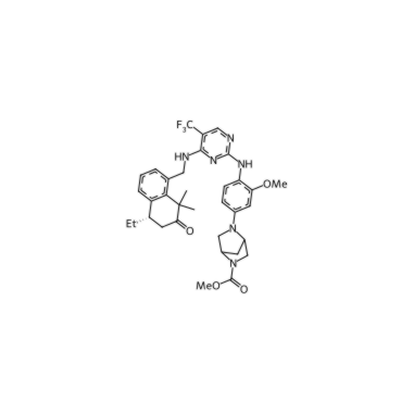 CC[C@H]1CC(=O)C(C)(C)c2c(CNc3nc(Nc4ccc(N5CC6CC5CN6C(=O)OC)cc4OC)ncc3C(F)(F)F)cccc21